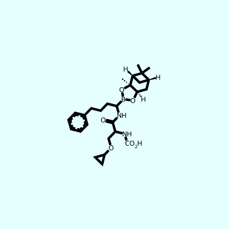 CC1(C)[C@@H]2C[C@H]3OB(C(CCCc4ccccc4)NC(=O)C(COC4CC4)NC(=O)O)O[C@@]3(C)[C@H]1C2